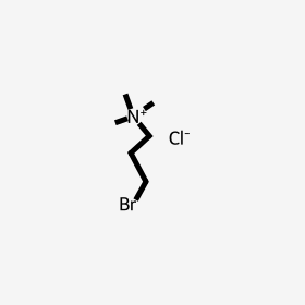 C[N+](C)(C)CCCBr.[Cl-]